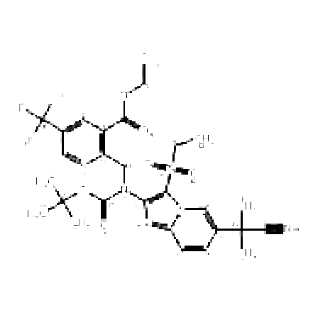 CCOC(=O)c1cc(C(F)(F)F)cnc1CN(C(=O)OC(C)(C)C)c1nc2ccc(C(C)(C)C#N)cn2c1S(=O)(=O)CC